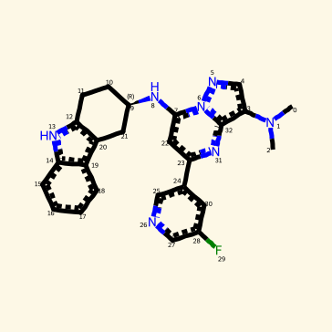 CN(C)c1cnn2c(N[C@@H]3CCc4[nH]c5ccccc5c4C3)cc(-c3cncc(F)c3)nc12